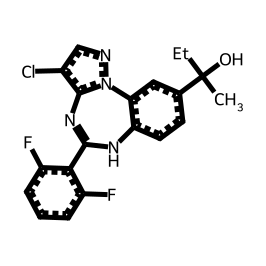 CCC(C)(O)c1ccc2c(c1)-n1ncc(Cl)c1N=C(c1c(F)cccc1F)N2